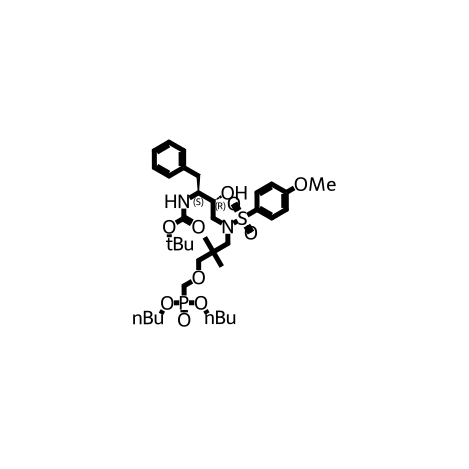 CCCCOP(=O)(COCC(C)(C)CN(C[C@@H](O)[C@H](Cc1ccccc1)NC(=O)OC(C)(C)C)S(=O)(=O)c1ccc(OC)cc1)OCCCC